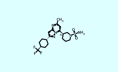 Cc1cc([C@@H]2CCCN(S(N)(=O)=O)C2)n2nc([C@H]3CC[C@H](C(F)(F)F)CC3)cc2n1